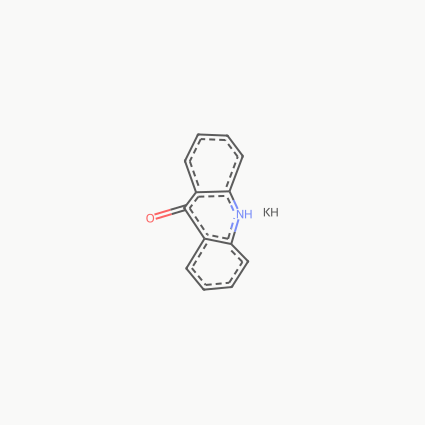 O=c1c2ccccc2[nH]c2ccccc12.[KH]